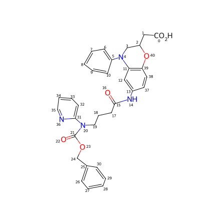 O=C(O)CC1CN(c2ccccc2)c2cc(NC(=O)CCCN(C(=O)OCc3ccccc3)c3ccccn3)ccc2O1